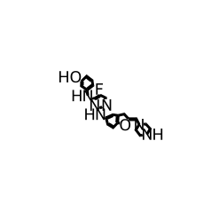 Oc1cccc(Nc2nc(Nc3ccc4c(c3)CC(=CN3CCNCC3)O4)ncc2F)c1